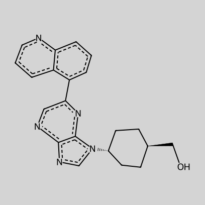 OC[C@H]1CC[C@H](n2cnc3ncc(-c4cccc5ncccc45)nc32)CC1